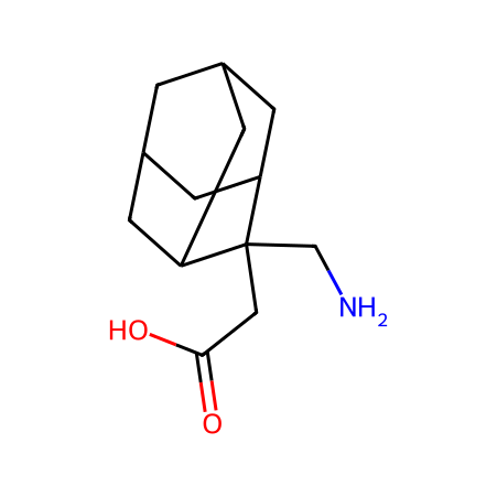 NCC1(CC(=O)O)C2CC3CC(C2)CC1C3